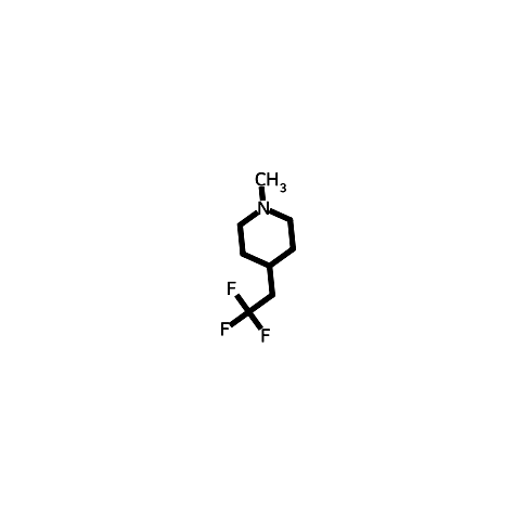 CN1CCC(CC(F)(F)F)CC1